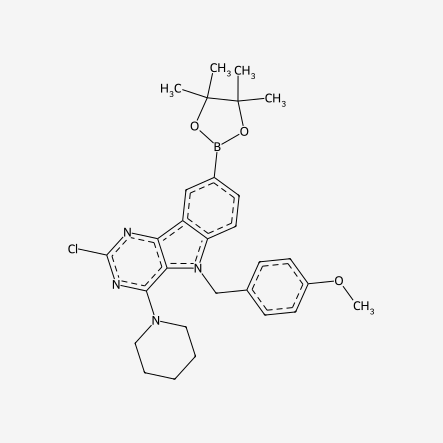 COc1ccc(Cn2c3ccc(B4OC(C)(C)C(C)(C)O4)cc3c3nc(Cl)nc(N4CCCCC4)c32)cc1